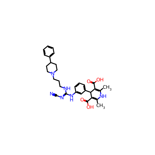 CC1=C(C(=O)O)C(c2cccc(N/C(=N/C#N)NCCCN3CCC(c4ccccc4)CC3)c2)C(C(=O)O)=C(C)N1